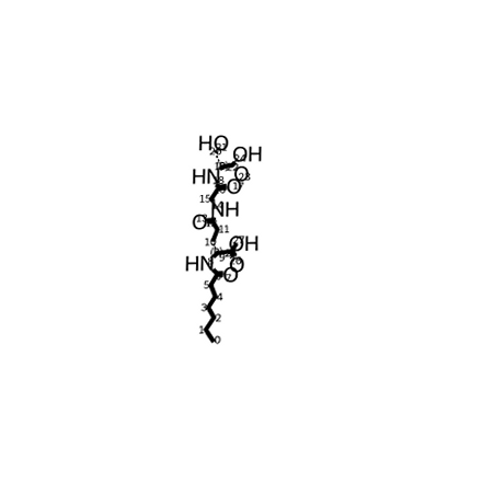 CCCCCCC(=O)N[C@H](CCC(=O)NCC(=O)N[C@H](CO)C(=O)O)C(=O)O